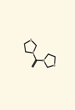 C=C(N1CCSC1)N1CCSC1